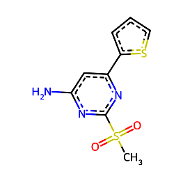 CS(=O)(=O)c1nc(N)cc(-c2cccs2)n1